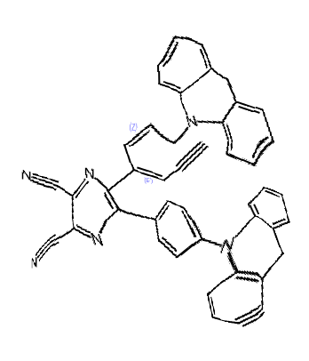 C#C/C=C(\C=C/CN1c2ccccc2Cc2ccccc21)c1nc(C#N)c(C#N)nc1-c1ccc(N2c3ccc#cc3Cc3ccccc32)cc1